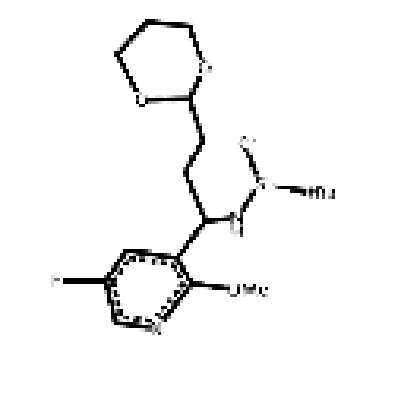 COc1ncc(F)cc1C(CCC1OCCCO1)N[S@@+]([O-])C(C)(C)C